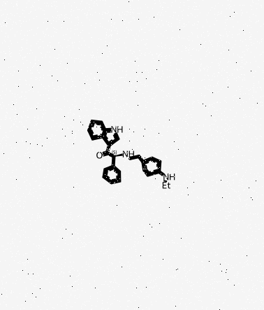 CCNc1ccc(CCN[C@H](C(=O)c2c[nH]c3ccccc23)c2ccccc2)cc1